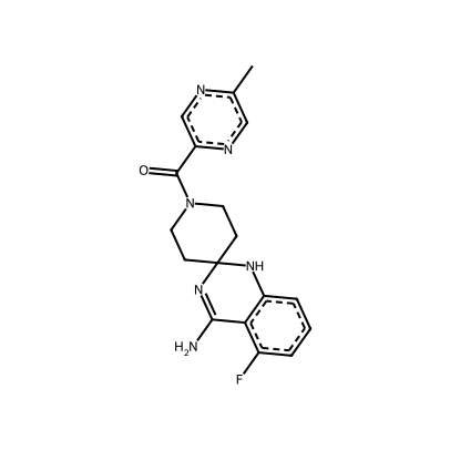 Cc1cnc(C(=O)N2CCC3(CC2)N=C(N)c2c(F)cccc2N3)cn1